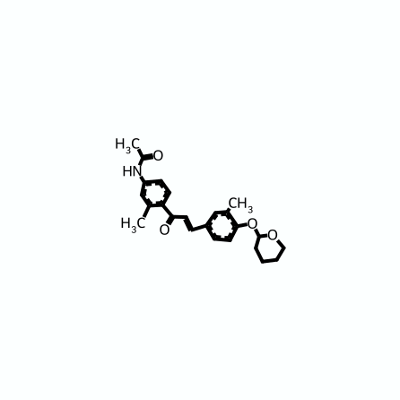 CC(=O)Nc1ccc(C(=O)C=Cc2ccc(OC3CCCCO3)c(C)c2)c(C)c1